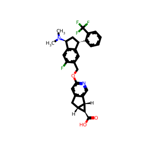 CN(C)[C@H]1C[C@H](c2ccccc2C(F)(F)F)c2cc(COc3cc4c(cn3)[C@H]3[C@@H](C4)[C@@H]3C(=O)O)c(F)cc21